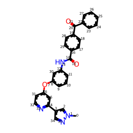 Cn1cc(-c2cc(Oc3cccc(NC(=O)c4ccc(C(=O)c5ccccc5)cc4)c3)ccn2)cn1